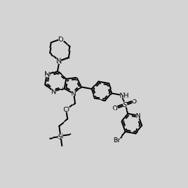 C[Si](C)(C)CCOCn1c(-c2ccc(NS(=O)(=O)c3cc(Br)ccn3)cc2)cc2c(N3CCOCC3)ncnc21